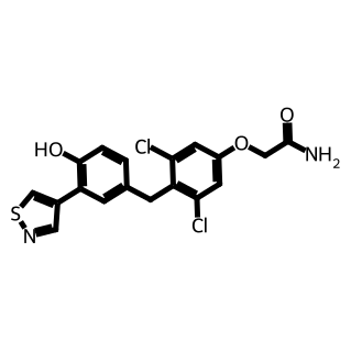 NC(=O)COc1cc(Cl)c(Cc2ccc(O)c(-c3cnsc3)c2)c(Cl)c1